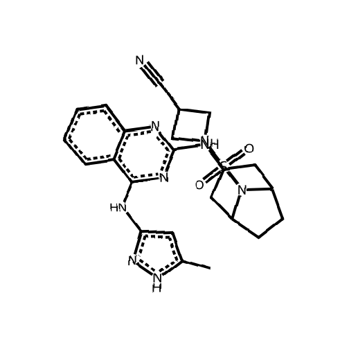 Cc1cc(Nc2nc(NC3CC4CCC(C3)N4S(=O)(=O)N3CC(C#N)C3)nc3ccccc23)n[nH]1